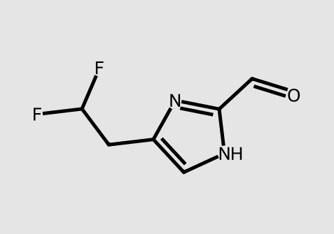 O=Cc1nc(CC(F)F)c[nH]1